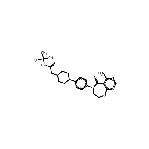 CC(C)(C)NC(=O)CC1CCC(c2ccc(N3CCOc4ncnc(N)c4C3=O)cc2)CC1